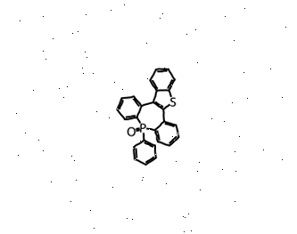 O=P1(c2ccccc2)c2ccccc2-c2sc3ccccc3c2-c2ccccc21